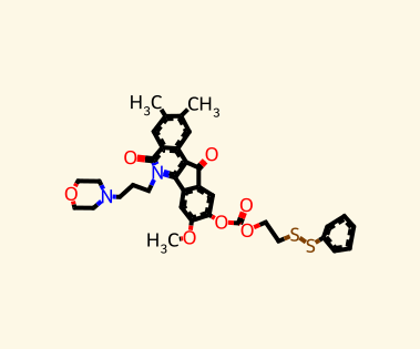 COc1cc2c(cc1OC(=O)OCCSSc1ccccc1)C(=O)c1c-2n(CCCN2CCOCC2)c(=O)c2cc(C)c(C)cc12